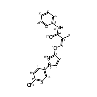 CC(=COc1ccn(-c2ccc(Cl)cc2)n1)C(=O)Nc1ccccc1